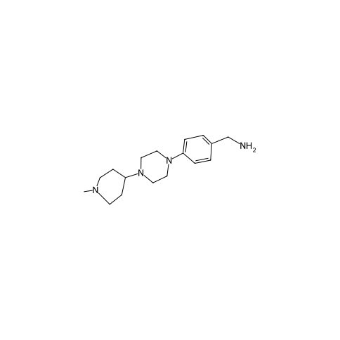 CN1CCC(N2CCN(c3ccc(CN)cc3)CC2)CC1